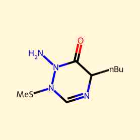 CCCCC1N=CN(SC)N(N)C1=O